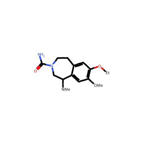 CCOc1cc2c(cc1OC)C(NC)CN(C(N)=O)CC2